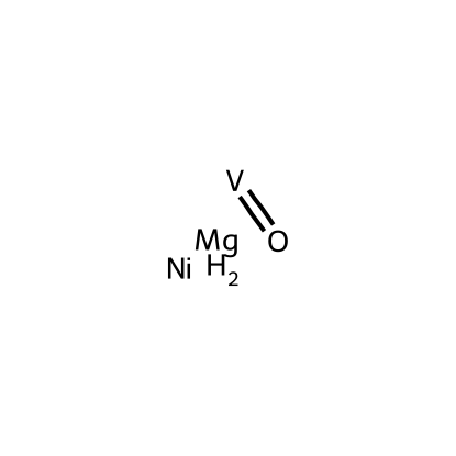 [MgH2].[Ni].[O]=[V]